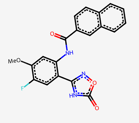 COc1cc(NC(=O)c2ccc3ccccc3c2)c(-c2noc(=O)[nH]2)cc1F